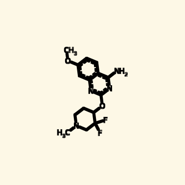 COc1ccc2c(N)nc(OC3CCN(C)CC3(F)F)nc2c1